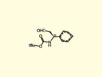 CC(C)(C)OC(=O)N[C@@H](CC=O)c1ccccc1